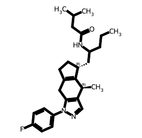 CCCC(C[C@H]1CCC2=C1[C@@H](C)c1cnn(-c3ccc(F)cc3)c1C2)NC(=O)CC(C)C